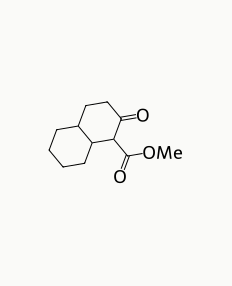 COC(=O)C1C(=O)CCC2CCCCC21